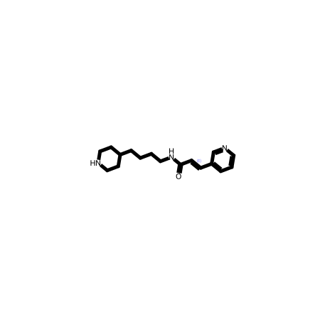 O=C(/C=C/c1cccnc1)NCCCCC1CCNCC1